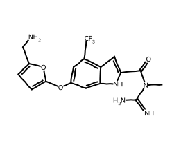 CN(C(=N)N)C(=O)c1cc2c(C(F)(F)F)cc(Oc3ccc(CN)o3)cc2[nH]1